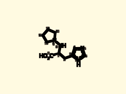 O=C(O)[C@H](Cc1cnc[nH]1)NN1CCCC1